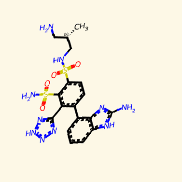 C[C@@H](CN)CNS(=O)(=O)c1ccc(-c2cccc3[nH]c(N)nc23)c(-c2nn[nH]n2)c1S(N)(=O)=O